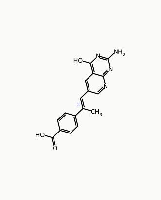 C/C(=C\c1cnc2nc(N)nc(O)c2c1)c1ccc(C(=O)O)cc1